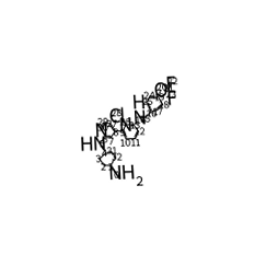 N[C@H]1CC[C@H](Nc2cc(-c3cccc(NCc4ccc(OC(F)F)cc4)n3)c(Cl)cn2)CC1